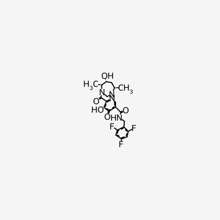 C[C@@H]1C[C@@H](O)[C@H](C)N2CN1n1cc(C(=O)NCc3c(F)cc(F)cc3F)c(=O)c(O)c1C2=O